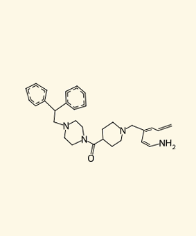 C=C/C=C(\C=C/N)CN1CCC(C(=O)N2CCN(CC(c3ccccc3)c3ccccc3)CC2)CC1